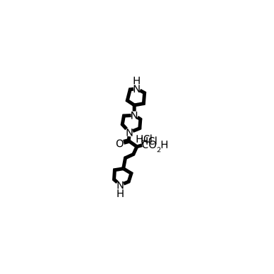 Cl.Cl.O=C(O)C(CCC1CCNCC1)C(=O)N1CCN(C2CCNCC2)CC1